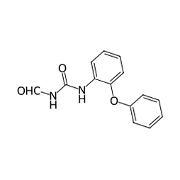 O=CNC(=O)Nc1ccccc1Oc1ccccc1